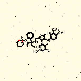 COc1ccc([C@H](Cc2c(Cl)c[n+](O)cc2Cl)c2cc(CNC(CO)(C(=O)O[C@H]3CN4CCC3CC4)c3ccccc3)sc2C(=O)[O-])cc1OC